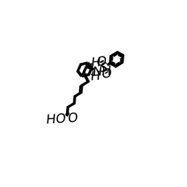 O=C(O)CCCC=CC[C@H]1C2CCC(CC2)[C@@H]1NS(=O)(=O)c1ccccc1